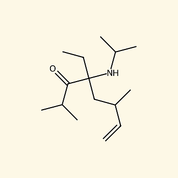 C=CC(C)CC(CC)(NC(C)C)C(=O)C(C)C